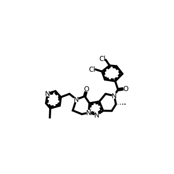 Cc1cncc(CN2CCn3nc4c(c3C2=O)CN(C(=O)c2ccc(Cl)c(Cl)c2)[C@H](C)C4)c1